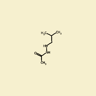 CC(=O)NNCC(C)C